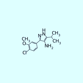 COc1cc(-c2n[nH]c(C(C)C)c2N)ccc1Cl